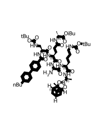 CCCCc1ccc(-c2ccc(C(=O)N[C@@H](CNC(=O)OC(C)(C)C)C(=O)N[C@@H](CCC(=O)N[C@H](C)C(=O)OCC(C)C)C(=O)N[C@@H](N)C(=O)N[C@@H](CCCCNC(=O)OC(C)(C)C)C(=O)N[C@@H](C)B3O[C@@H]4C[C@@H]5C[C@@H](C5(C)C)[C@]4(C)O3)cc2)cc1